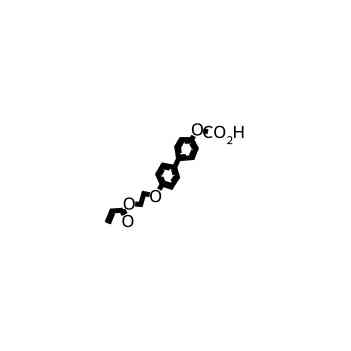 C=CC(=O)OCCOc1ccc(-c2ccc(OC(=O)O)cc2)cc1